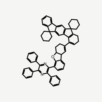 C1=C(C2=CCCC3=C2c2cc4c(cc2C32CCCCC2)-c2ccccc2C42CCCCC2)CCC2Oc3c(-c4nc(-c5ccccc5)c(-c5ccccc5)nc4-c4ccccc4)cccc3C12